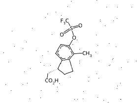 Cc1c(OS(=O)(=O)C(F)(F)F)ccc2c1CC[C@@H]2CC(=O)O